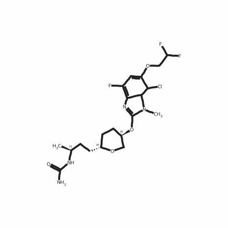 C[C@@H](CC[C@@H]1CC[C@@H](OC2=NC3=C(F)C=C(OCC(F)F)C(Cl)C3N2C)CO1)NC(N)=O